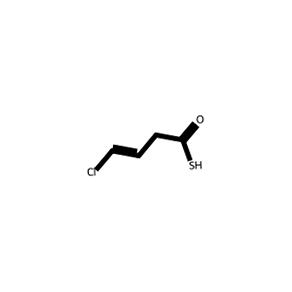 O=C(S)CC=CCl